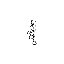 CN1CCC(NC(=O)c2cnc(-c3ccccc3)nc2O)CC1